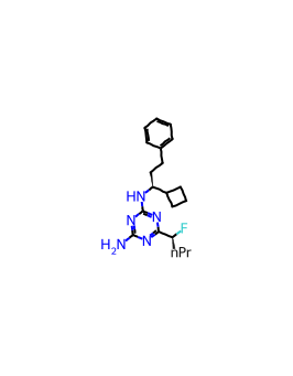 CCC[C@H](F)c1nc(N)nc(N[C@@H](CCc2ccccc2)C2CCC2)n1